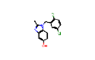 Cc1nc2cc(O)ccc2n1Cc1cc(Cl)ccc1Cl